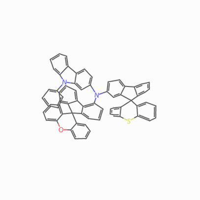 c1ccc(-n2c3ccccc3c3ccc(N(c4ccc5c(c4)C4(c6ccccc6Sc6ccccc64)c4ccccc4-5)c4cccc5c4-c4ccccc4C54c5ccccc5Oc5ccccc54)cc32)cc1